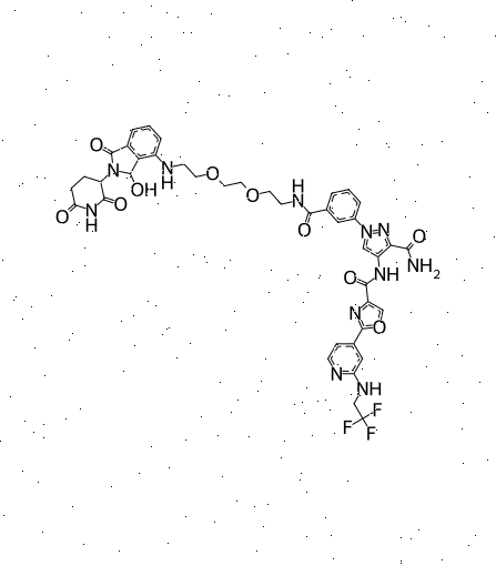 NC(=O)c1nn(-c2cccc(C(=O)NCCOCCOCCNc3cccc4c3C(O)N(C3CCC(=O)NC3=O)C4=O)c2)cc1NC(=O)c1coc(-c2ccnc(NCC(F)(F)F)c2)n1